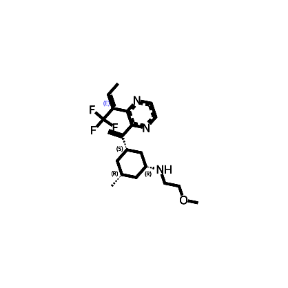 C=C(c1nccnc1/C(=C\C)C(F)(F)F)[C@H]1C[C@@H](C)C[C@@H](NCCOC)C1